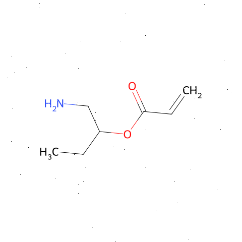 C=CC(=O)OC(CC)CN